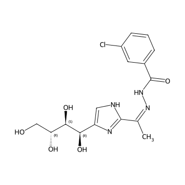 CC(=NNC(=O)c1cccc(Cl)c1)c1nc([C@@H](O)[C@H](O)[C@H](O)CO)c[nH]1